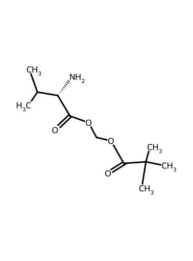 CC(C)[C@H](N)C(=O)OCOC(=O)C(C)(C)C